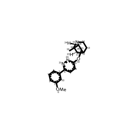 COc1cccc(-c2ccc(O[C@@H]3C4CCN(CC4)[C@H]3C)nn2)c1